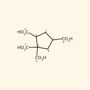 O=C(O)C1CC(C(=O)O)C(C(=O)O)(C(=O)O)C1